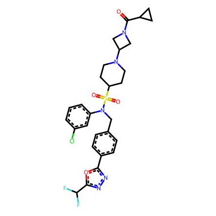 O=C(C1CC1)N1CC(N2CCC(S(=O)(=O)N(Cc3ccc(-c4nnc(C(F)F)o4)cc3)c3cccc(Cl)c3)CC2)C1